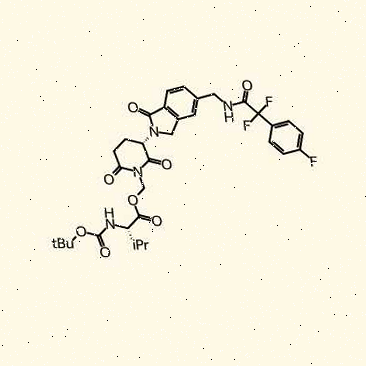 CC(C)[C@H](NC(=O)OC(C)(C)C)C(=O)OCN1C(=O)CC[C@H](N2Cc3cc(CNC(=O)C(F)(F)c4ccc(F)cc4)ccc3C2=O)C1=O